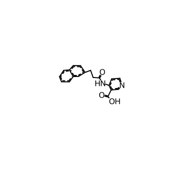 O=C(CCc1ccc2ccccc2c1)Nc1ccncc1C(=O)O